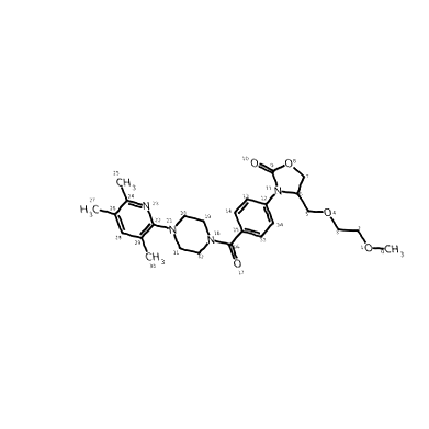 COCCOCC1COC(=O)N1c1ccc(C(=O)N2CCN(c3nc(C)c(C)cc3C)CC2)cc1